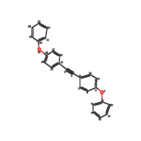 C(#Cc1ccc(Oc2ccccc2)cc1)c1ccc(Oc2ccccc2)cc1